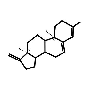 [CH2]C1=CC2=CCC3C(CC[C@]4(C)C(=C)CCC34)[C@@]2(C)CC1